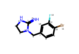 N=C1NCCN1Cc1ccc(Br)c(F)c1